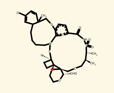 C[C@@H]1[C@@H](C)CCC[C@@]2(OCCO[C@H]2C=O)[C@@H]2CC[C@H]2CN2CCCCC3C=C(Cl)C=CC3(C)COc3ccc(cc32)C(=O)NS1(=O)=O